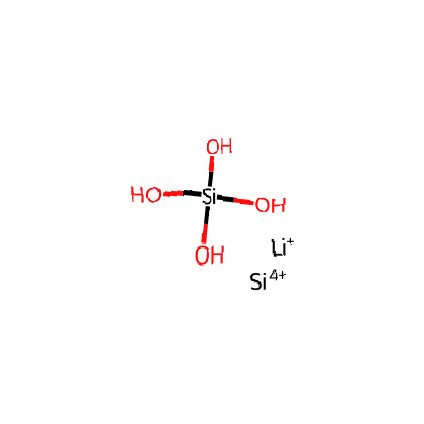 O[Si](O)(O)O.[Li+].[Si+4]